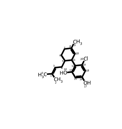 CC(C)=CCC1CCC(C)=CC1c1c(O)cc(O)cc1Cl